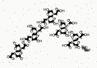 O=C(O)CN(CCN(CC(=O)O)CC(=O)O)CC(=O)O.O=C(O)CN(CCN(CC(=O)O)CC(=O)O)CC(=O)O.O=C(O)CN(CCN(CC(=O)O)CC(=O)O)CC(=O)O.O=C(O)CN(CCN(CC(=O)O)CC(=O)O)CC(=O)O.O=C([O-])CN(CCN(CC(=O)[O-])CC(=O)[O-])CC(=O)[O-].[Na+].[Na+].[Na+].[Na+]